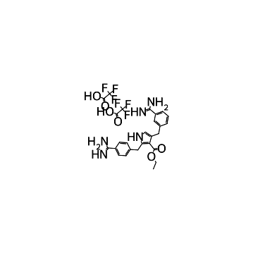 CCOC(=O)c1c(Cc2cccc(C(=N)N)c2)c[nH]c1Cc1ccc(C(=N)N)cc1.O=C(O)C(F)(F)F.O=C(O)C(F)(F)F